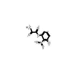 CC(=O)C(=O)Oc1cccc(Cl)c1[N+](=O)[O-]